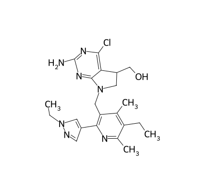 CCc1c(C)nc(-c2cnn(CC)c2)c(CN2CC(CO)c3c(Cl)nc(N)nc32)c1C